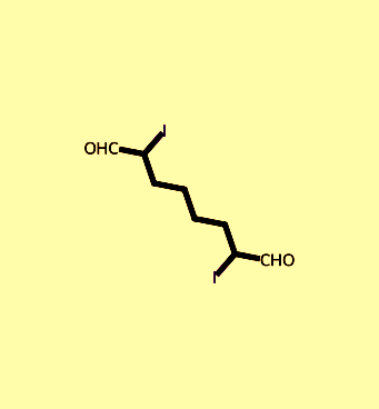 O=CC(I)CCCCC(I)C=O